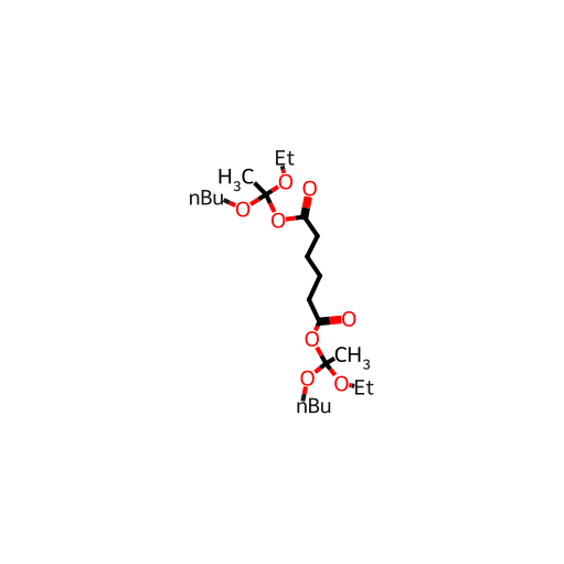 CCCCOC(C)(OCC)OC(=O)CCCCC(=O)OC(C)(OCC)OCCCC